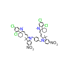 CN1/C(=C/C=C/C2=[N+](Cc3ccc(C[N+]4=C(/C=C/C=C5/N(C)c6cc(Cl)cc(Cl)c6C56CCCCC6)C(C)(C)c5cc([N+](=O)[O-])ccc54)cc3)c3ccc([N+](=O)[O-])cc3C2(C)C)C2(CCCCC2)c2c(Cl)cc(Cl)cc21